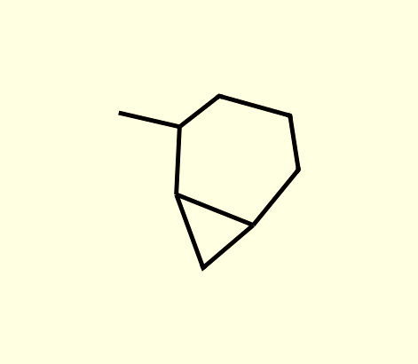 CC1CCCC2CC12